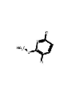 O=C(O)Oc1nc(Cl)ccc1Cl